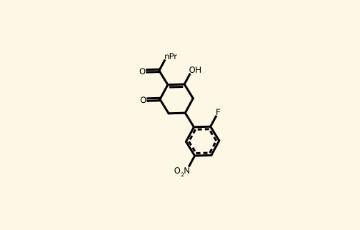 CCCC(=O)C1=C(O)CC(c2cc([N+](=O)[O-])ccc2F)CC1=O